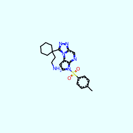 Cc1ccc(S(=O)(=O)n2ccc3c2ncc2nnc(C4(CCN)CCCCC4)n23)cc1